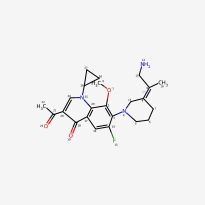 COc1c(N2CCC/C(=C(\C)CN)C2)c(F)cc2c(=O)c(C(C)=O)cn(C3CC3)c12